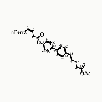 CCCCC/C=C\CC(=O)Oc1cnc(-c2ccc(CCCCC(C)OC(C)=O)cc2)nc1